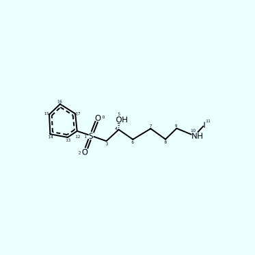 O=S(=O)(C[C@H](O)CCCCNI)c1ccccc1